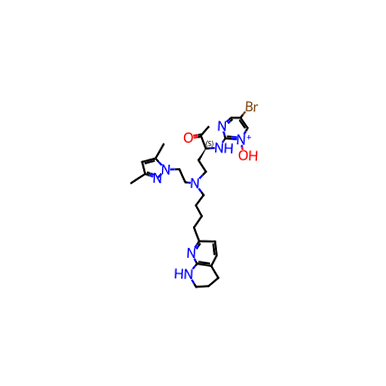 CC(=O)[C@H](CCN(CCCCc1ccc2c(n1)NCCC2)CCn1nc(C)cc1C)Nc1ncc(Br)c[n+]1O